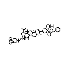 C=C(C)[C@@H]1CC[C@]2(NCCN3CCS(=O)(=O)CC3)CC[C@]3(C)[C@H](CCC4[C@@]5(C)CC=C(C6=CCC(CO)(C(=O)OCc7ccccc7)CC6)C(C)(C)C5CC[C@]43C)C12